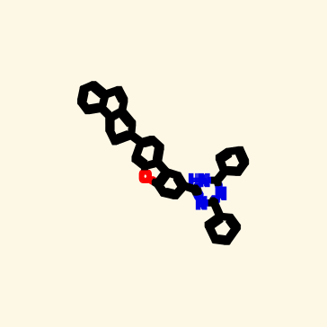 c1ccc(C2=NC(c3ccccc3)NC(c3ccc4oc5cc(-c6ccc7c(ccc8ccccc87)c6)ccc5c4c3)=N2)cc1